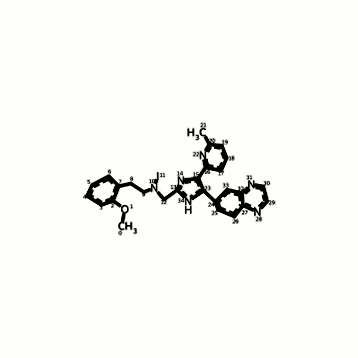 COc1ccccc1CCN(I)Cc1nc(-c2cccc(C)n2)c(-c2ccc3nccnc3c2)[nH]1